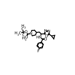 CC(C)(C)OC(=O)N1CCC(CC(NC(=O)c2ccc(F)cc2)c2nnc(C3CC3)o2)CC1